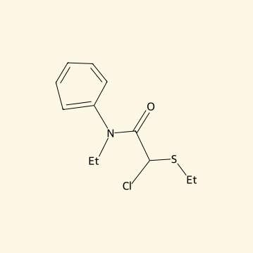 CCSC(Cl)C(=O)N(CC)c1ccccc1